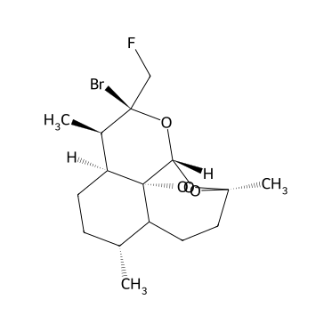 C[C@@H]1CC[C@H]2[C@@H](C)[C@](Br)(CF)O[C@@H]3O[C@]4(C)CCC1[C@]32OO4